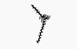 CCCCCCCCCCCCCCOC(=O)C[C@H](NC(=O)CCCCCCCCCCC)C(=O)O